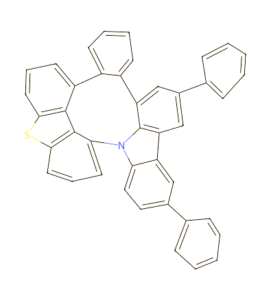 c1ccc(-c2ccc3c(c2)c2cc(-c4ccccc4)cc4c5ccccc5c5cccc6sc7cccc(c7c65)n3c42)cc1